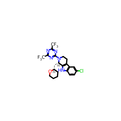 FC(F)(F)c1nc(N2CCc3c([nH]c4ccc(Cl)cc34)[C@@H]2C[C@@H]2CCCCO2)nc(C(F)(F)F)n1